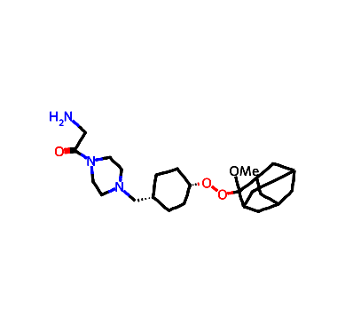 COC1(OO[C@H]2CC[C@@H](CN3CCN(C(=O)CN)CC3)CC2)C2CC3CC(C2)CC1C3